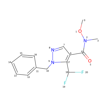 CON(C)C(=O)c1cnn(Cc2ccccc2)c1C(F)F